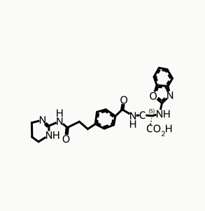 O=C(CCc1ccc(C(=O)NC[C@H](Nc2nc3ccccc3o2)C(=O)O)cc1)NC1=NCCCN1